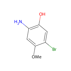 COc1cc(N)c(O)cc1Br